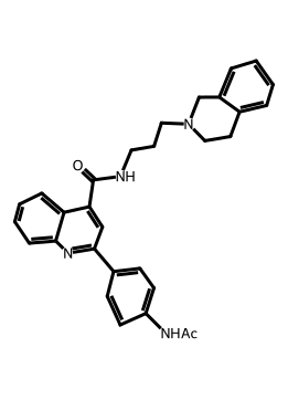 CC(=O)Nc1ccc(-c2cc(C(=O)NCCCN3CCc4ccccc4C3)c3ccccc3n2)cc1